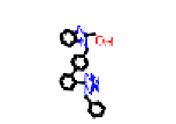 OCc1nc2ccccc2n1Cc1ccc(-c2ccccc2-c2nnnn2Cc2ccccc2)cc1